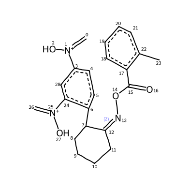 C=[N+](O)c1ccc(C2CCCC/C2=N/OC(=O)c2ccccc2C)c([N+](=C)O)c1